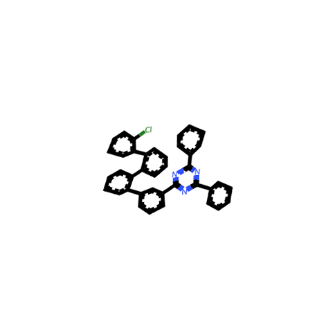 Clc1ccccc1-c1ccccc1-c1ccccc1-c1cccc(-c2nc(-c3ccccc3)nc(-c3ccccc3)n2)c1